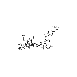 C=CC1=C2/C(=C(\C)OC(=O)CC(C)(C)c3c(C)cc(C)cc3OC(=O)CC(C)CC(=O)OC(COC(C)=O)COC(C)=O)O[C@]34C[C@]3(OC)[C@@H]([C@](C)(O)C(C)(C)C)C[C@]3(CC)C(C1)N(CC1CC1)CC[C@@]234